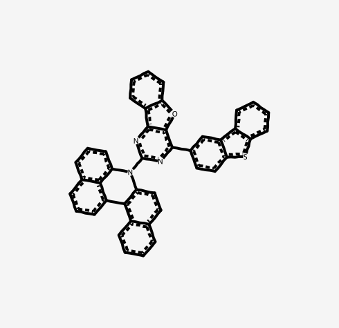 c1ccc2c3c(ccc2c1)N(c1nc(-c2ccc4sc5ccccc5c4c2)c2oc4ccccc4c2n1)c1cccc2cccc-3c12